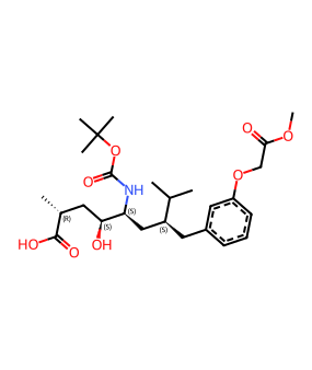 COC(=O)COc1cccc(C[C@@H](C[C@H](NC(=O)OC(C)(C)C)[C@@H](O)C[C@@H](C)C(=O)O)C(C)C)c1